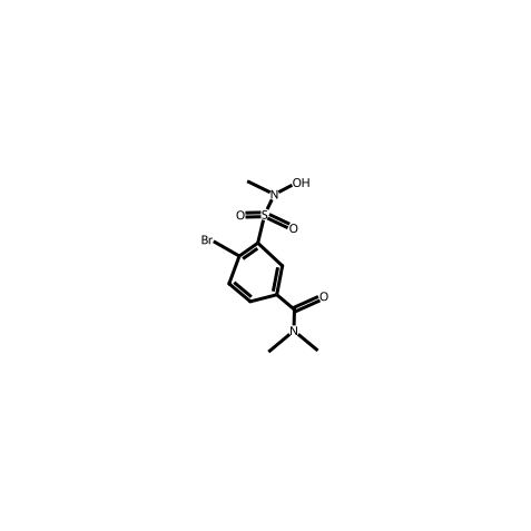 CN(C)C(=O)c1ccc(Br)c(S(=O)(=O)N(C)O)c1